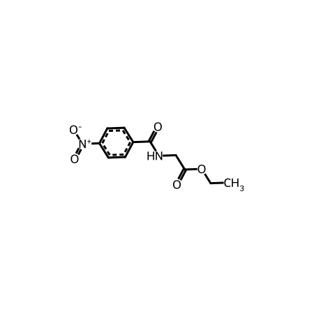 CCOC(=O)CNC(=O)c1ccc([N+](=O)[O-])cc1